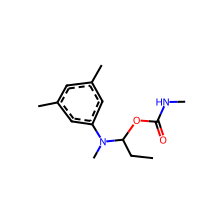 CCC(OC(=O)NC)N(C)c1cc(C)cc(C)c1